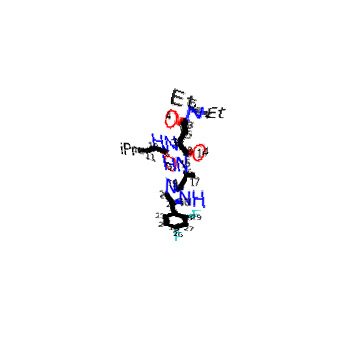 CCN(CC)C(=O)CC(NC(=O)CCC(C)C)C(=O)NC(C)c1ncc(-c2ccc(F)cc2F)[nH]1